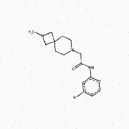 CN1CC2(CCN(CC(=O)Nc3cc(Br)ccn3)CC2)C1